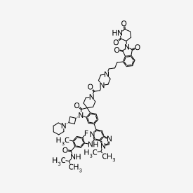 Cc1cc(F)c(Nc2nc(-c3ccc4c(c3)N([C@H]3C[C@@H](N5CCCCC5)C3)C(=O)C43CCN(C(=O)CN4CCN(CCCc5cccc6c5C(=O)N(C5CCC(=O)NC5=O)C6=O)CC4)CC3)cc3ncn(C(C)C)c23)cc1C(=O)NC(C)C